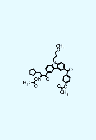 COCCCn1c2ccc(C(=O)/C(CC3CCCC3)=N/OC(C)=O)cc2c2cc(C(=O)c3ccc(OC(C)=O)cc3)ccc21